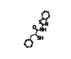 O=C(Nc1nc2ccccc2s1)C(S)Cc1ccccc1